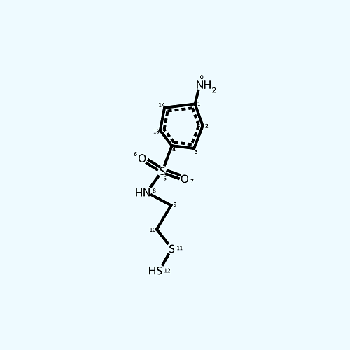 Nc1ccc(S(=O)(=O)NCCSS)cc1